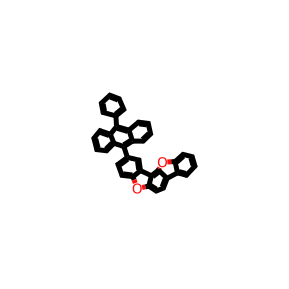 c1ccc(-c2c3ccccc3c(-c3ccc4oc5ccc6c7ccccc7oc6c5c4c3)c3ccccc23)cc1